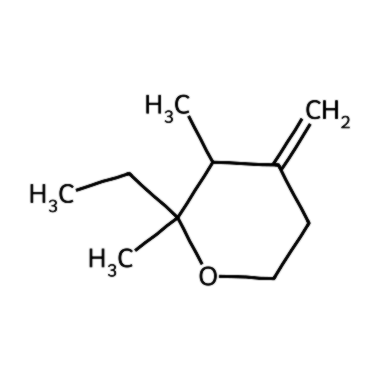 C=C1CCOC(C)(CC)C1C